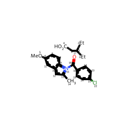 CCC(CC)CC(=O)O.COc1ccc2c(c1)cc(C)n2C(=O)c1ccc(Cl)cc1